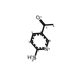 Bc1ccc(C(C)=O)cn1